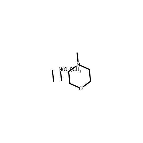 CC.CN(C)O.CN1CCOCC1